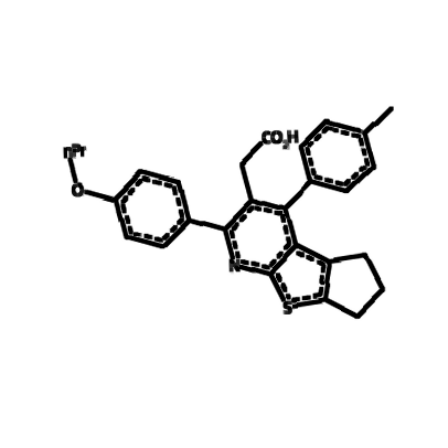 CCCOc1ccc(-c2nc3sc4c(c3c(-c3ccc(C)cc3)c2CC(=O)O)CCC4)cc1